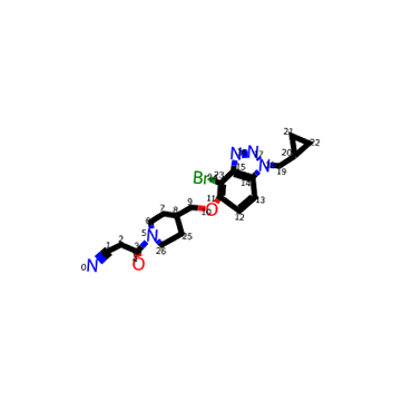 N#CCC(=O)N1CCC(COc2ccc3c(nnn3CC3CC3)c2Br)CC1